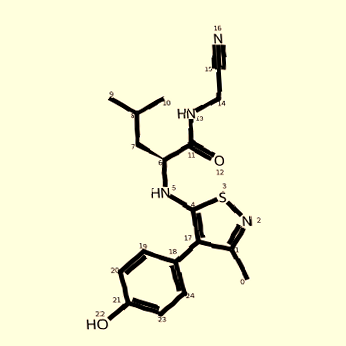 Cc1nsc(N[C@@H](CC(C)C)C(=O)NCC#N)c1-c1ccc(O)cc1